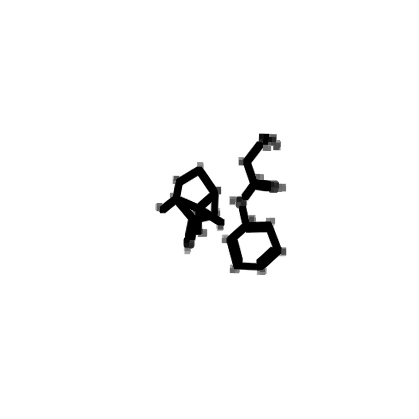 CC12CCC(CC1=O)C2(C)C.NCC(=O)Oc1ccccc1